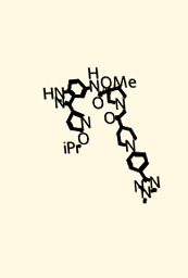 CO[C@@]1(C(=O)Nc2ccc3[nH]nc(-c4ccc(OC(C)C)nc4)c3c2)CCN(CC(=O)C2CCN(c3ccc(-c4ncn(C)n4)cc3)CC2)C1